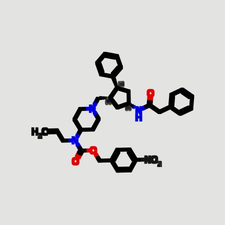 C=CCN(C(=O)OCc1ccc([N+](=O)[O-])cc1)C1CCN(C[C@H]2C[C@@H](NC(=O)Cc3ccccc3)C[C@@H]2c2ccccc2)CC1